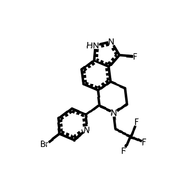 Fc1n[nH]c2ccc3c(c12)CCN(CC(F)(F)F)C3c1ccc(Br)cn1